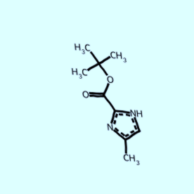 Cc1c[nH]c(C(=O)OC(C)(C)C)n1